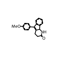 COc1ccc(C2=C3CCC(=O)NC3c3ccccc32)cc1